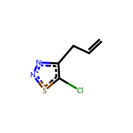 C=CCc1nnsc1Cl